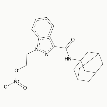 O=C(NC12CC3CC(CC(C3)C1)C2)c1nn(CCO[N+](=O)[O-])c2ccccc12